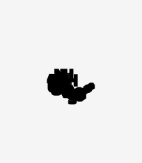 CC#Cc1ccc2sc3ccc([C@]4(C)CS(=O)(=O)C5(CCCC5)C(=N)N4)cc3c2c1